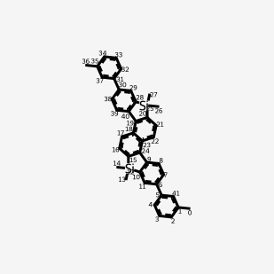 Cc1cccc(-c2ccc3c(c2)[Si](C)(C)c2ccc4c5c(ccc4c2-3)[Si](C)(C)c2cc(-c3cccc(C)c3)ccc2-5)c1